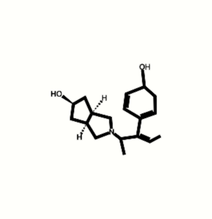 CC=C(C1=CCC(O)C=C1)C(C)N1C[C@H]2C[C@@H](O)C[C@H]2C1